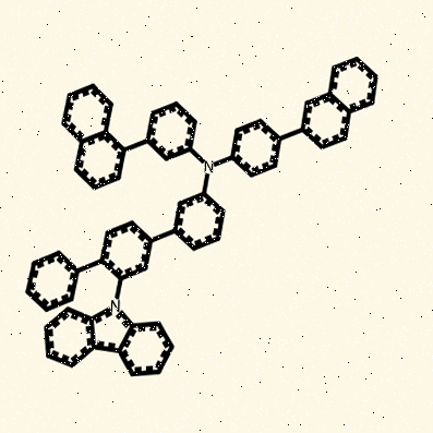 c1ccc(-c2ccc(-c3cccc(N(c4ccc(-c5ccc6ccccc6c5)cc4)c4cccc(-c5cccc6ccccc56)c4)c3)cc2-n2c3ccccc3c3ccccc32)cc1